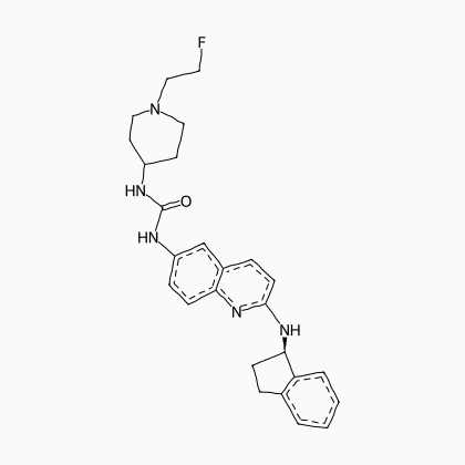 O=C(Nc1ccc2nc(N[C@@H]3CCc4ccccc43)ccc2c1)NC1CCN(CCF)CC1